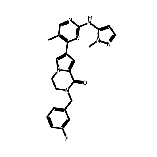 Cc1cnc(Nc2ccnn2C)nc1-c1cc2n(c1)CCN(Cc1cccc(F)c1)C2=O